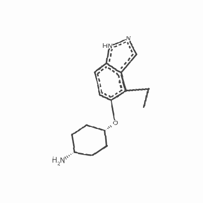 CCc1c(O[C@H]2CC[C@@H](N)CC2)ccc2[nH]ncc12